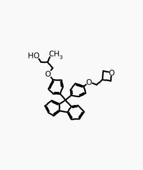 CC(CO)COc1ccc(C2(c3ccc(OCC4COC4)cc3)c3ccccc3-c3ccccc32)cc1